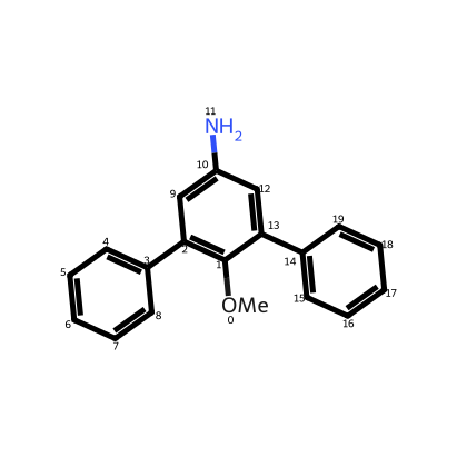 COc1c(-c2ccccc2)cc(N)cc1-c1ccccc1